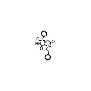 COC(=O)CN1C(NCCc2ccccc2)C(=O)NC(=O)N1c1ccccc1